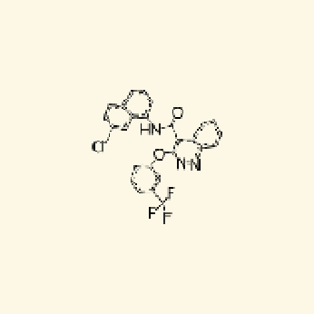 O=C(Nc1cccc2ccc(Cl)cc12)c1c(Oc2cccc(C(F)(F)F)c2)nnc2ccccc12